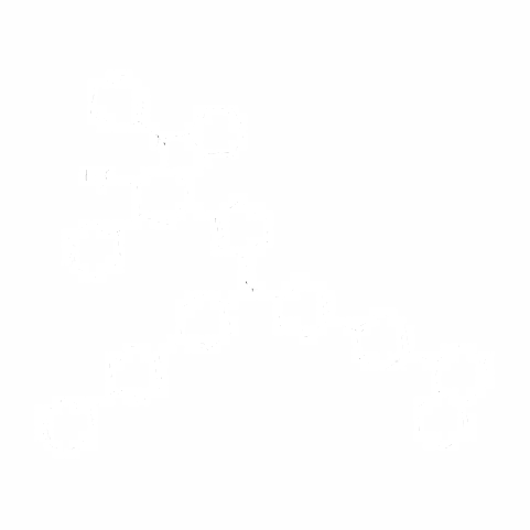 CC1c2c(c3ccccc3n2-c2ccccc2)C(c2cccc(N(c3ccc(-c4ccc(-c5ccccc5)cc4)cc3)c3ccc(-c4ccc(-c5cccc6ccccc56)cc4)cc3)c2)=CC1c1ccccc1